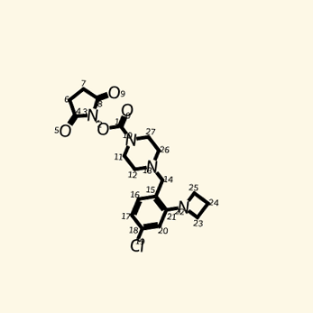 O=C(ON1C(=O)CCC1=O)N1CCN(Cc2ccc(Cl)cc2N2CCC2)CC1